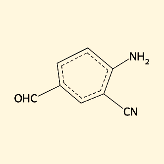 N#Cc1cc(C=O)ccc1N